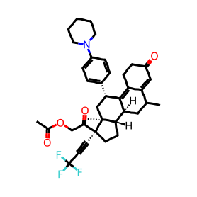 CC(=O)OCC(=O)[C@]1(C#CC(F)(F)F)CC[C@H]2[C@@H]3CC(C)C4=CC(=O)CCC4=C3[C@@H](c3ccc(N4CCCCC4)cc3)C[C@@]21C